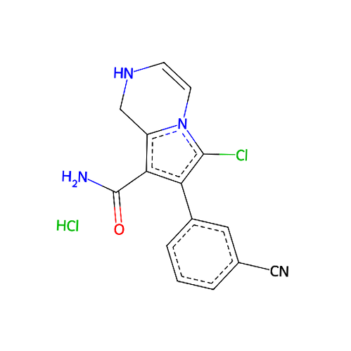 Cl.N#Cc1cccc(-c2c(C(N)=O)c3n(c2Cl)C=CNC3)c1